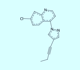 CCC#Cc1cnn(-c2ccnc3cc(Cl)ccc23)c1